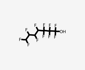 OC(F)(F)C(F)(F)C(F)(F)C(F)C(F)C(F)C(F)F